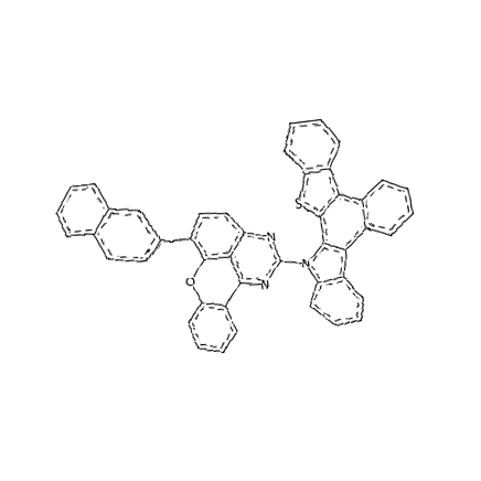 c1ccc2c(c1)Oc1c(-c3ccc4ccccc4c3)ccc3nc(-n4c5ccccc5c5c6ccccc6c6c7ccccc7sc6c54)nc-2c13